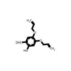 C=CCOc1cc(O)c(C=O)cc1OCC=C